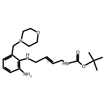 CC(C)(C)OC(=O)NC/C=C/CNc1c(N)cccc1CN1CCOCC1